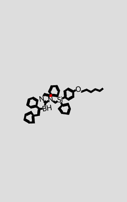 CCCCCCOc1ccc([Si](Cn2ccnc2BC(=Cc2ccccc2)c2ccccc2)(c2ccccc2)c2ccccc2)cc1